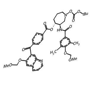 COCOc1cc2cccnc2cc1C(=O)c1ccc(C(=O)O[C@@H]2CCCN(OC(=O)OC(C)(C)C)C[C@H]2NC(=O)c2cc(C)c(OCOC)c(C)c2)cc1